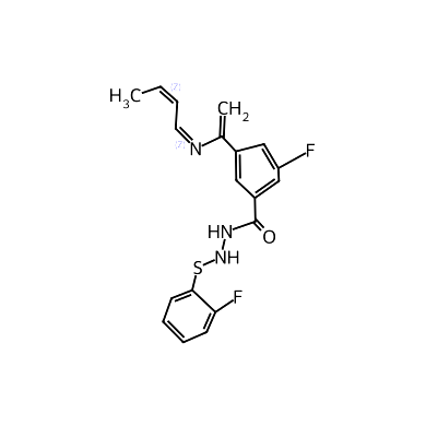 C=C(/N=C\C=C/C)c1cc(F)cc(C(=O)NNSc2ccccc2F)c1